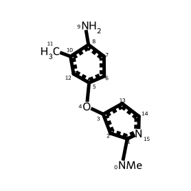 CNc1cc(Oc2ccc(N)c(C)c2)ccn1